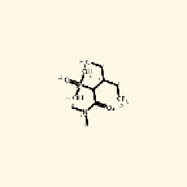 CN(C)C(=O)C(C(CC(F)(F)F)CC(F)(F)F)P(=O)(O)O